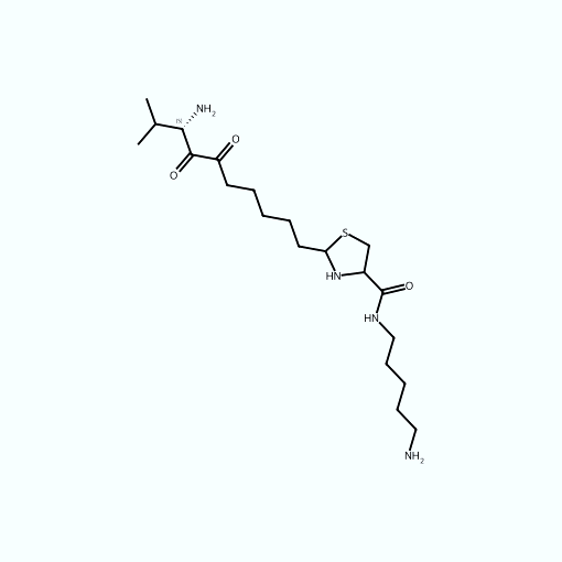 CC(C)[C@H](N)C(=O)C(=O)CCCCCC1NC(C(=O)NCCCCCN)CS1